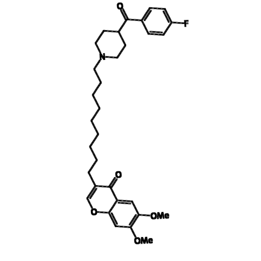 COc1cc2occ(CCCCCCCCCN3CCC(C(=O)c4ccc(F)cc4)CC3)c(=O)c2cc1OC